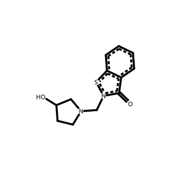 O=c1c2ccccc2sn1CN1CCC(O)C1